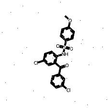 COc1ccc(S(=O)(=O)Nc2ccc(Cl)cc2C(=O)c2cccc(Cl)c2)cc1